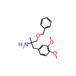 COc1ccc(CC(C)(N)COCc2ccccc2)cc1OC